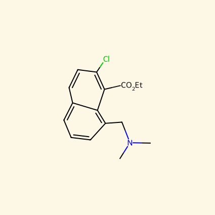 CCOC(=O)c1c(Cl)ccc2cccc(CN(C)C)c12